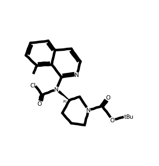 Cc1cccc2ccnc(N(C(=O)Cl)[C@@H]3CCCN(C(=O)OC(C)(C)C)C3)c12